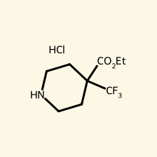 CCOC(=O)C1(C(F)(F)F)CCNCC1.Cl